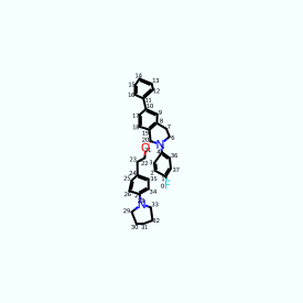 Fc1ccc(N2CCc3cc(-c4ccccc4)ccc3C2OCCc2ccc(N3CCCCC3)cc2)cc1